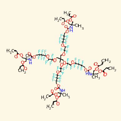 C=CC(=O)OCC(C)(COC(=O)C=C)NC(=O)OCC(F)(F)C(F)(F)C(F)(F)OC(F)C(F)(F)OCC(COC(F)(F)C(F)OC(F)(F)C(F)(F)C(F)(F)COC(=O)NC(C)(COC(=O)C=C)COC(=O)C=C)(COC(F)(F)C(F)OC(F)(F)C(F)(F)C(F)(F)COC(=O)NC(C)(COC(=O)C=C)COC(=O)C=C)COC(F)(F)C(F)OC(F)(F)C(F)(F)C(F)(F)COC(=O)NC(C)(COC(=O)C=C)COC(=O)C=C